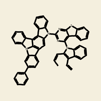 C=Cc1c(/C=C\C)n(-c2nc(-n3c4ccccc4c4c5c6ccccc6n6c7cc(-c8ccccc8)ccc7c(cc43)c56)nc3sc4ccccc4c23)c2ccccc12